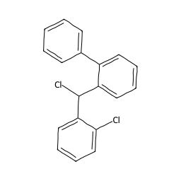 Clc1ccccc1C(Cl)c1ccccc1-c1ccccc1